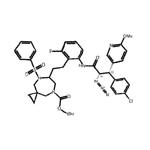 COc1ccc([C@H](c2ccc(Cl)cc2)[C@H](N=[N+]=[N-])C(=O)Nc2cccc(F)c2CCC2CN(C(=O)OC(C)(C)C)CC3(CC3)CN2S(=O)(=O)c2ccccc2)cn1